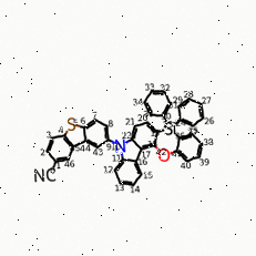 N#Cc1ccc2sc3ccc(-n4c5ccccc5c5c6c(ccc54)[Si](c4ccccc4)(c4ccccc4)c4ccccc4O6)cc3c2c1